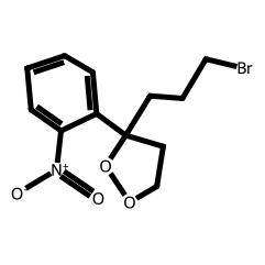 O=[N+]([O-])c1ccccc1C1(CCCBr)CCOO1